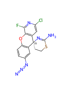 [N-]=[N+]=Nc1ccc2c(c1)[C@@]1(CCSC(N)=N1)c1cc(Cl)nc(F)c1O2